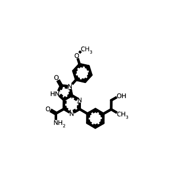 COc1cccc(-n2c(=O)[nH]c3c(C(N)=O)nc(-c4cccc(C(C)CO)c4)nc32)c1